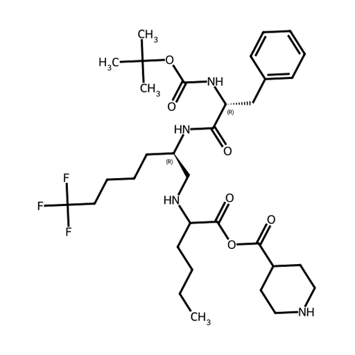 CCCCC(NC[C@@H](CCCCC(F)(F)F)NC(=O)[C@@H](Cc1ccccc1)NC(=O)OC(C)(C)C)C(=O)OC(=O)C1CCNCC1